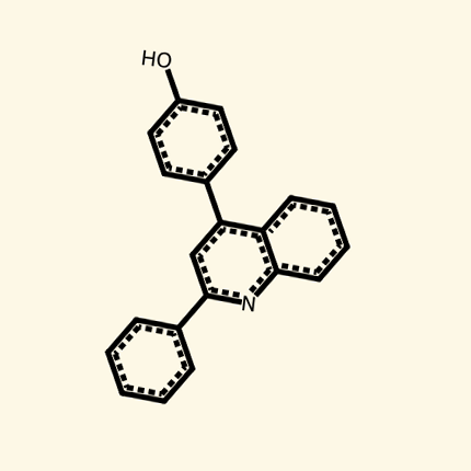 Oc1ccc(-c2cc(-c3ccccc3)nc3ccccc23)cc1